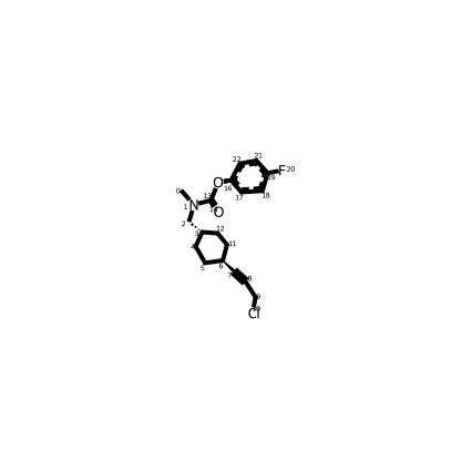 CN(C[C@H]1CC[C@H](C#CCCl)CC1)C(=O)Oc1ccc(F)cc1